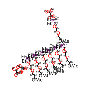 CC[P+](CC)(CC)COCCOCCOC.CC[P+](CC)(CC)COCCOCCOC.CC[P+](CC)(CC)COCCOCCOC.CC[P+](CC)(CC)COCCOCCOC.CC[P+](CC)(CC)COCCOCCOC.CC[P+](CC)(CC)COCCOCCOC.CC[P+](CC)(CC)COCCOCCOC.O=C([O-])C(=O)[O-].O=C([O-])C(=O)[O-].[O-]B([O-])[O-]